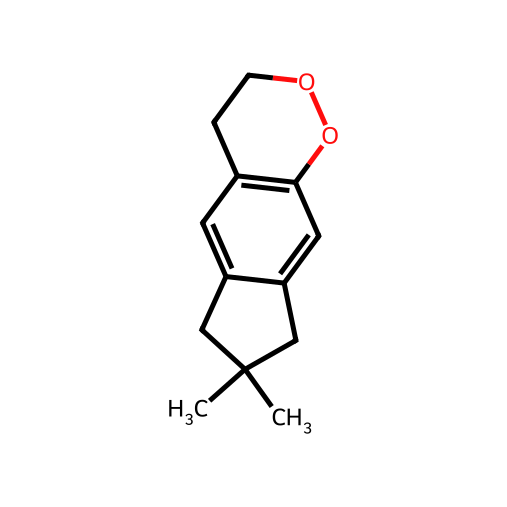 CC1(C)Cc2cc3c(cc2C1)OOCC3